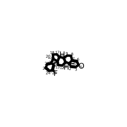 C[C@]12C=CC(=O)C=C1CCC1[C@@H]2CC[C@@]2(C)[C@H]1CC[C@]2(C)c1cccc(F)c1